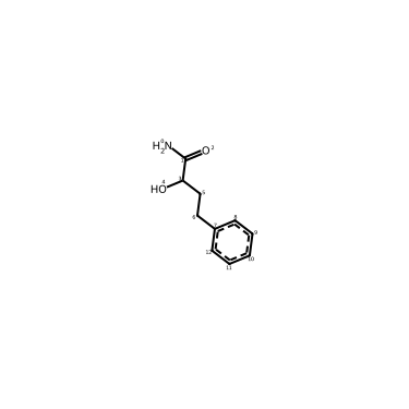 NC(=O)C(O)CCc1ccccc1